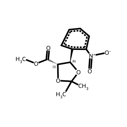 COC(=O)[C@H]1OC(C)(C)O[C@@H]1c1ccccc1[N+](=O)[O-]